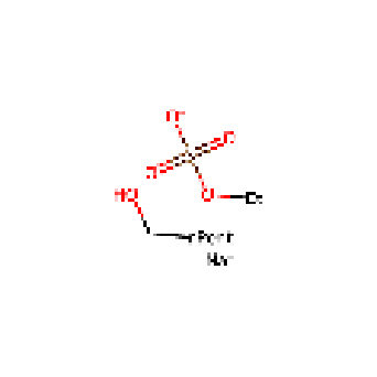 CCCCCCO.CCOS(=O)(=O)[O-].[Na+]